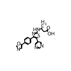 CC(CC(=O)O)Nc1nc(-c2ccc(-c3cnco3)cc2)c(-c2cncnc2)s1